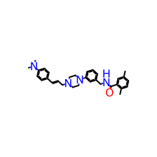 Cc1ccc(C)c(C(=O)NCc2cccc(N3CCN(CC=Cc4ccc(N(C)C)cc4)CC3)c2)c1